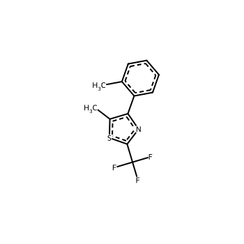 Cc1ccccc1-c1nc(C(F)(F)F)sc1C